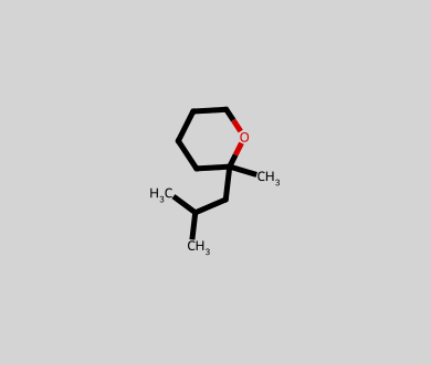 CC(C)CC1(C)CCCCO1